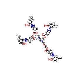 CC(C)(C)c1ccc(O)c(-n2n3c4ccc(C(=O)OCCOCCN(CCOC(=O)c5ccc6c(c5)n5n(-c7cc(C(C)(C)C)ccc7O)n65)CCN(CCOC(=O)c5ccc6c(c5)n5n(-c7cc(C(C)(C)C)ccc7O)n65)CCOC(=O)c5ccc6c(c5)n5n(-c7cc(C(C)(C)C)ccc7O)n65)cc4n23)c1